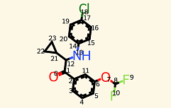 O=C(c1cccc(OC(F)F)c1)C(Nc1ccc(Cl)cc1)C1CC1